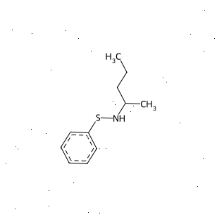 CCCC(C)NSc1[c]cccc1